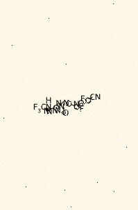 N#Cc1ccc(COc2nc(C3CCN(Cc4nc5cc(-c6nnc(C(F)(F)F)[nH]6)nnc5n4CC4CCO4)CC3)ccc2F)c(F)c1